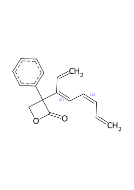 C=C/C=C\C=C(/C=C)C1(c2ccccc2)COC1=O